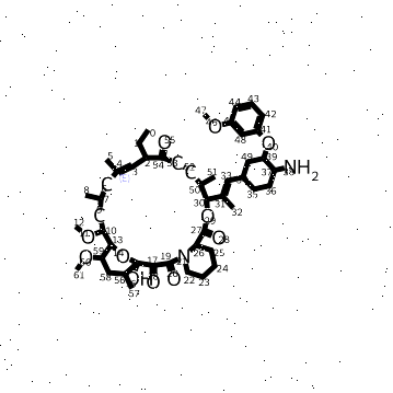 CCC1/C=C(\C)CC(C)CC(OC)C2OC(O)(C(=O)C(=O)N3CCCCC3C(=O)OC(C(C)=CC3CCC(N)C(Oc4cccc(OC)c4)C3)C(C)CCC1=O)C(C)CC2OC